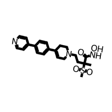 CC(CCN1CC=C(c2ccc(-c3ccncc3)cc2)CC1)(C(=O)NO)S(C)(=O)=O